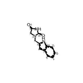 O=C1CN(Cc2cc3ccccc3[nH]2)C(=O)N1